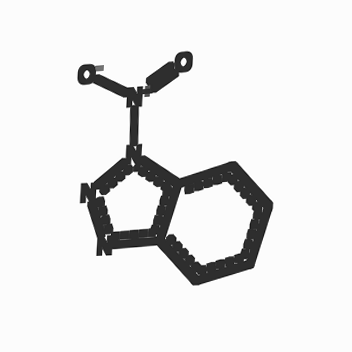 O=[N+]([O-])n1nnc2ccccc21